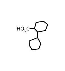 O=C(O)C1CCCCC1C1CCCCC1